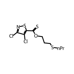 CCCSCCCOC(=S)c1snc(Cl)c1Cl